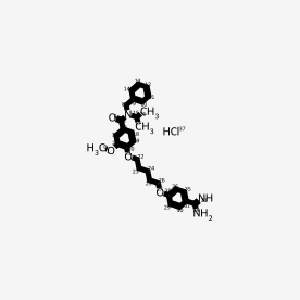 COc1cc(C(=O)N(Cc2ccccc2)C(C)C)ccc1OCCCCCOc1ccc(C(=N)N)cc1.Cl